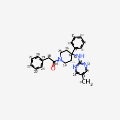 Cc1cnc(NC2(c3ccccc3)CCN(C(=O)Cc3ccccc3)CC2)nc1